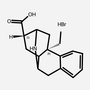 Br.CC[C@]12CC3NC(Cc4ccccc41)C2C[C@@H]3C(=O)O